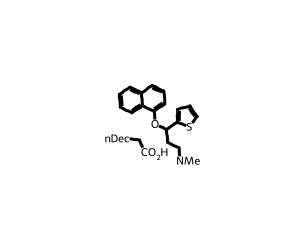 CCCCCCCCCCCC(=O)O.CNCCC(Oc1cccc2ccccc12)c1cccs1